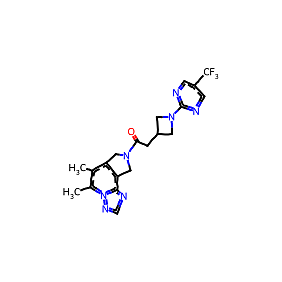 Cc1c2c(c3ncnn3c1C)CN(C(=O)CC1CN(c3ncc(C(F)(F)F)cn3)C1)C2